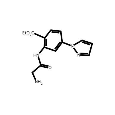 CCOC(=O)c1ccc(-n2cccn2)cc1NC(=O)CN